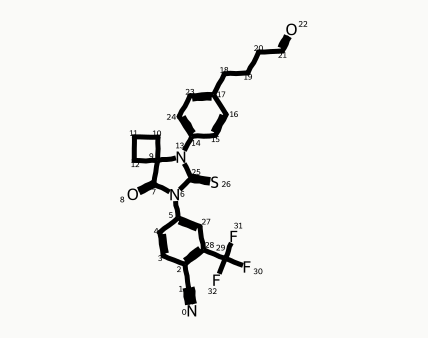 N#Cc1ccc(N2C(=O)C3(CCC3)N(c3ccc(CCCC=O)cc3)C2=S)cc1C(F)(F)F